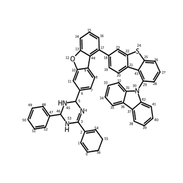 C1=CC(C2=NC(c3ccc4c(c3)oc3cccc(-c5ccc6c(c5)sc5cccc(-n7c8ccccc8c8ccccc87)c56)c34)NC(c3ccccc3)N2)=CCC1